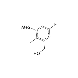 CSc1cc(F)cc(CO)c1C